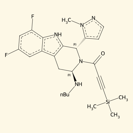 CCCCN[C@H]1Cc2c([nH]c3c(F)cc(F)cc23)[C@H](c2ccnn2C)N1C(=O)C#C[Si](C)(C)C